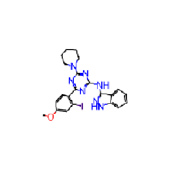 COc1ccc(-c2nc(Nc3n[nH]c4ccccc34)nc(N3CCCCC3)n2)c(I)c1